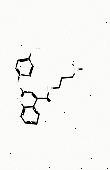 CCCN(CCC)CCCNC(=O)c1cc(Sc2ccc(C)cc2)nc2ccccc12